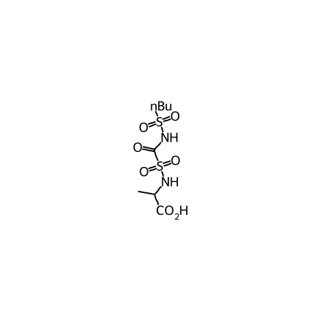 CCCCS(=O)(=O)NC(=O)S(=O)(=O)NC(C)C(=O)O